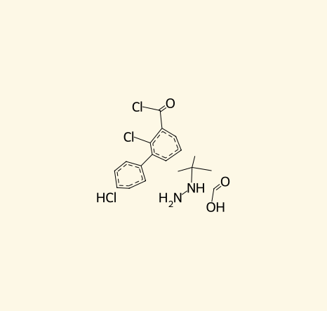 CC(C)(C)NN.Cl.O=C(Cl)c1cccc(-c2ccccc2)c1Cl.O=CO